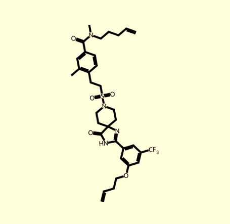 C=CCCCN(C)C(=O)c1ccc(CCS(=O)(=O)N2CCC3(CC2)N=C(c2cc(OCCC=C)cc(C(F)(F)F)c2)NC3=O)c(C)c1